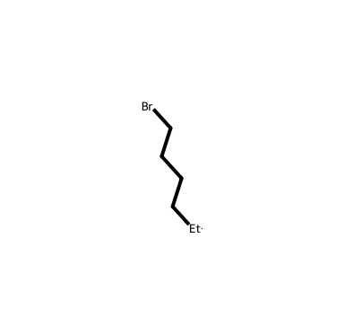 C[CH]CCCCBr